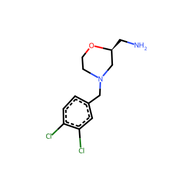 NC[C@H]1CN(Cc2ccc(Cl)c(Cl)c2)CCO1